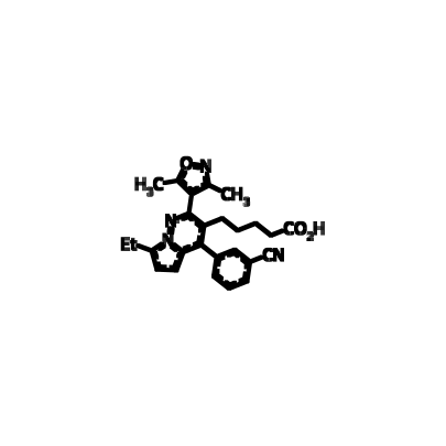 CCc1ccc2c(-c3cccc(C#N)c3)c(CCCCC(=O)O)c(-c3c(C)noc3C)nn12